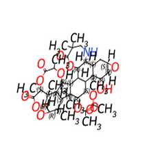 CC(=O)O[C@H]1C2C([C@H]3OC(=O)C(C)(C)CN[C@H]3[C@H]3C[C@@H]4O[C@@H]4[C@H](O)[C@]23C)[C@@H]2[C@H]3OC(C)C(=O)O[C@]4(C)C(=O)O[C@@]56O[C@@H]5[C@@H](C)[C@@H]([C@@H]3[C@]64C)[C@@]2(C)[C@H]1OC(C)=O